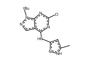 Cc1cc(Nc2nc(Cl)nc3c2cnn3C(C)(C)C)n[nH]1